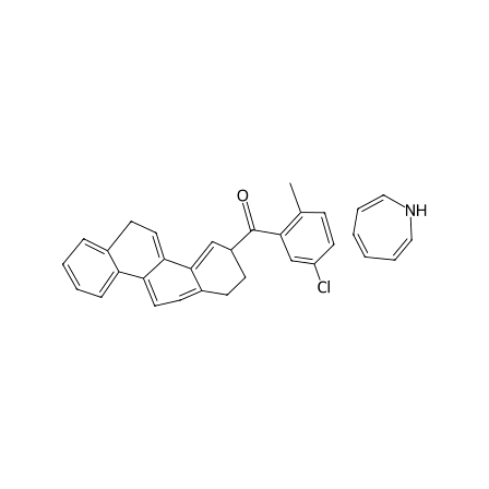 C1=CC=CNC=C1.Cc1ccc(Cl)cc1C(=O)C1C=c2c(ccc3c2=CCc2ccccc2-3)CC1